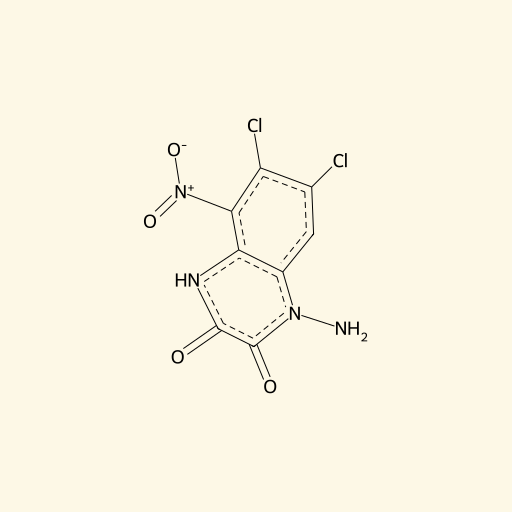 Nn1c(=O)c(=O)[nH]c2c([N+](=O)[O-])c(Cl)c(Cl)cc21